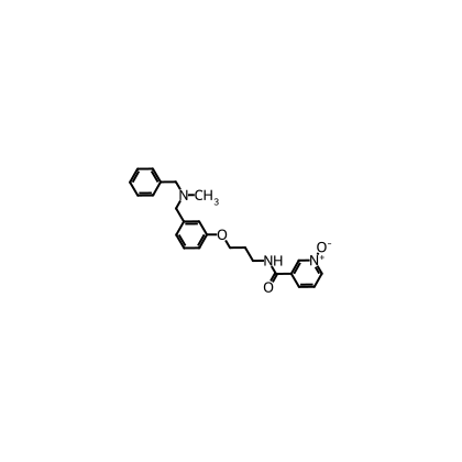 CN(Cc1ccccc1)Cc1cccc(OCCCNC(=O)c2ccc[n+]([O-])c2)c1